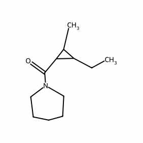 CCC1C(C)C1C(=O)N1CCCCC1